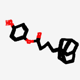 O=C(CCCC12CC3CC(CC(C3)C1)C2)Oc1ccc(O)cc1